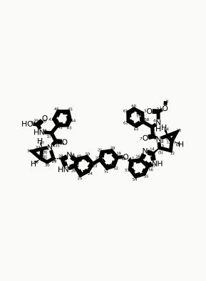 COC(=O)NC(C(=O)N1[C@@H]2C[C@H]2C[C@H]1c1nc2c(Oc3ccc(-c4ccc5[nH]c([C@@H]6C[C@H]7C[C@H]7N6C(=O)C(NC(=O)O)c6ccccc6)nc5c4)cc3)cccc2[nH]1)c1ccccc1